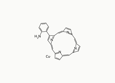 Nc1ccccc1C1=CC2=CC3=NC(=CC4=NC(=CC5=NC(=CC1=N2)C=C5)C=C4)C=C3.[Cu]